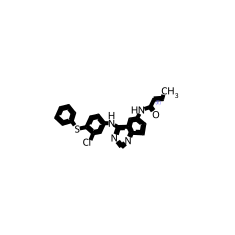 C/C=C/C(=O)Nc1ccc2ncnc(Nc3ccc(Sc4ccccc4)c(Cl)c3)c2c1